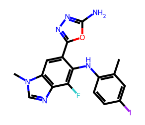 Cc1cc(I)ccc1Nc1c(-c2nnc(N)o2)cc2c(ncn2C)c1F